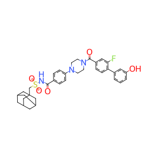 O=C(NS(=O)(=O)CC12CC3CC(CC(C3)C1)C2)c1ccc(N2CCN(C(=O)c3ccc(-c4cccc(O)c4)c(F)c3)CC2)cc1